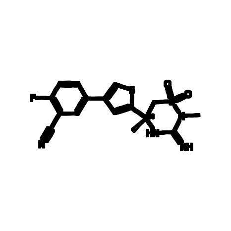 CN1C(=N)N[C@](C)(c2cc(-c3ccc(F)c(C#N)c3)cs2)CS1(=O)=O